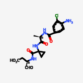 C[C@H](NC(=O)c1ccc(N)c(Cl)c1)C(=O)NC1(C(=O)N[C@H](C=O)CC(=O)O)CC1